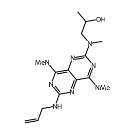 C=CCNc1nc(NC)c2nc(N(C)CC(C)O)nc(NC)c2n1